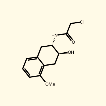 COc1cccc2c1C[C@H](O)[C@@H](NC(=O)CCl)C2